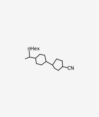 CCCCCCC(C)C1CCC(C2CCC(C#N)CC2)CC1